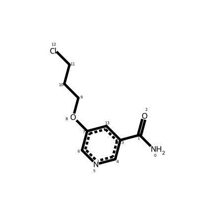 NC(=O)c1cncc(OCCCCl)c1